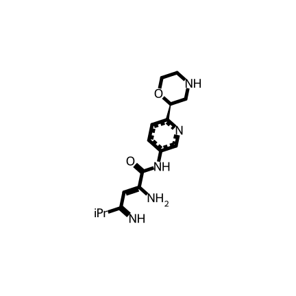 CC(C)C(=N)/C=C(\N)C(=O)Nc1ccc([C@@H]2CNCCO2)nc1